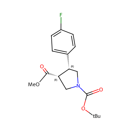 COC(=O)[C@H]1CN(C(=O)OC(C)(C)C)C[C@H]1c1ccc(F)cc1